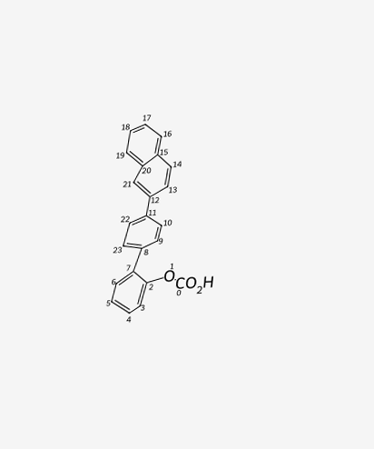 O=C(O)Oc1ccccc1-c1ccc(-c2ccc3ccccc3c2)cc1